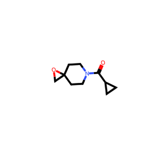 O=C(C1CC1)N1CCC2(CC1)CO2